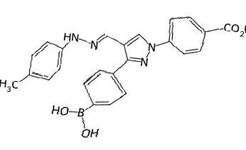 Cc1ccc(N/N=C/c2cn(-c3ccc(C(=O)O)cc3)nc2-c2ccc(B(O)O)cc2)cc1